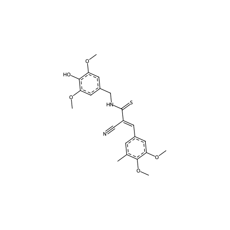 COc1cc(CNC(=S)/C(C#N)=C/c2cc(C)c(OC)c(OC)c2)cc(OC)c1O